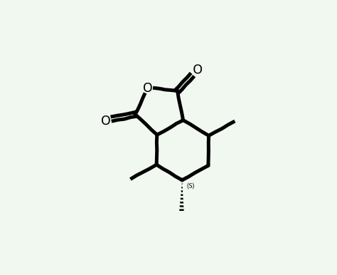 CC1C[C@H](C)C(C)C2C(=O)OC(=O)C12